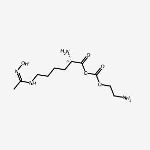 CC(=NO)NCCCC[C@H](N)C(=O)OC(=O)OCCN